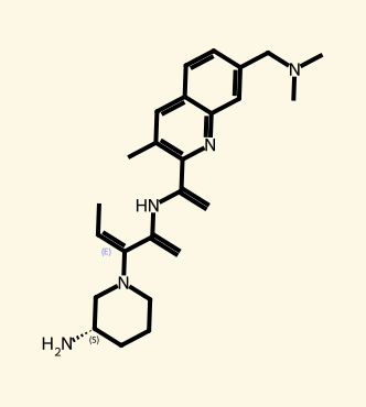 C=C(NC(=C)c1nc2cc(CN(C)C)ccc2cc1C)/C(=C\C)N1CCC[C@H](N)C1